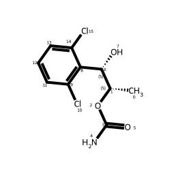 C[C@H](OC(N)=O)[C@@H](O)c1c(Cl)cccc1Cl